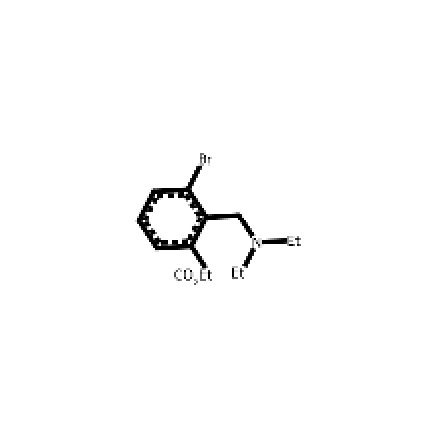 CCOC(=O)c1cccc(Br)c1CN(CC)CC